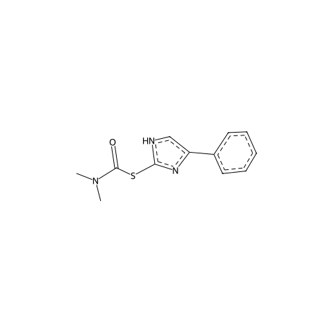 CN(C)C(=O)Sc1nc(-c2ccccc2)c[nH]1